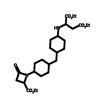 CCOC(=O)CC(NC1CCC(CC2CCC(N3C(=O)CC3C(=O)OCC)CC2)CC1)C(=O)OCC